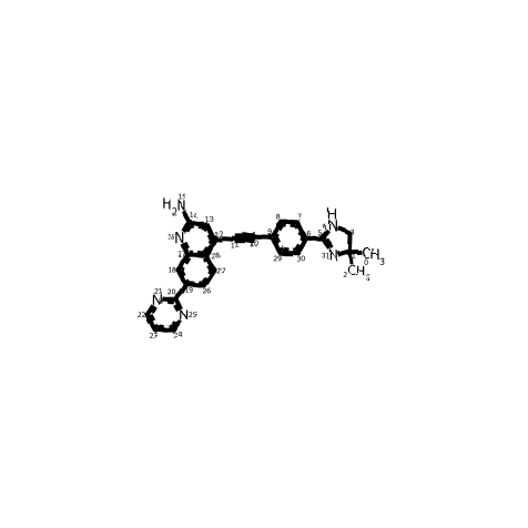 CC1(C)CNC(c2ccc(C#Cc3cc(N)nc4cc(-c5ncccn5)ccc34)cc2)=N1